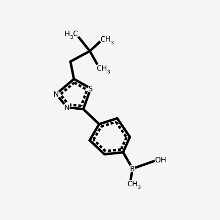 CB(O)c1ccc(-c2nnc(CC(C)(C)C)s2)cc1